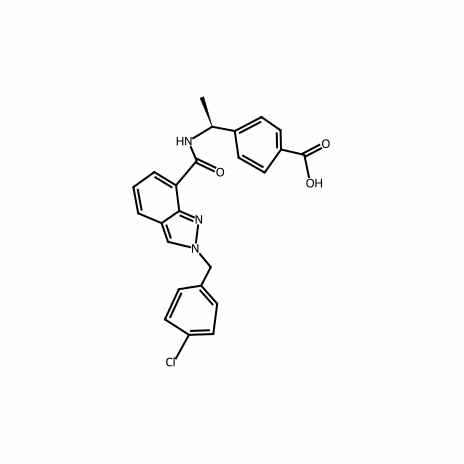 C[C@H](NC(=O)c1cccc2cn(Cc3ccc(Cl)cc3)nc12)c1ccc(C(=O)O)cc1